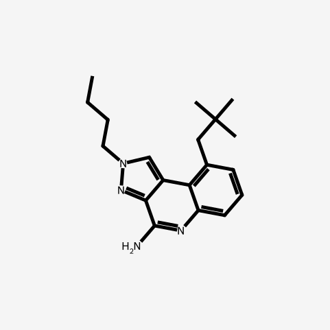 CCCCn1cc2c(n1)c(N)nc1cccc(CC(C)(C)C)c12